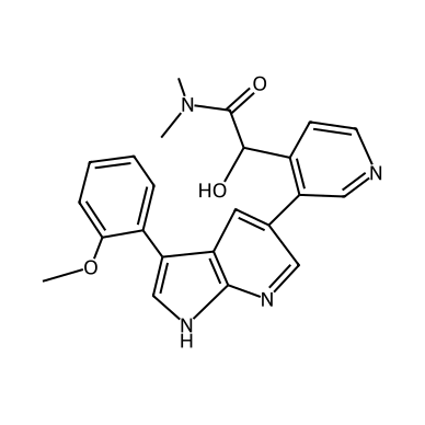 COc1ccccc1-c1c[nH]c2ncc(-c3cnccc3C(O)C(=O)N(C)C)cc12